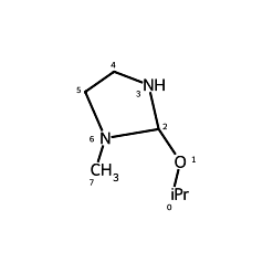 CC(C)OC1NCCN1C